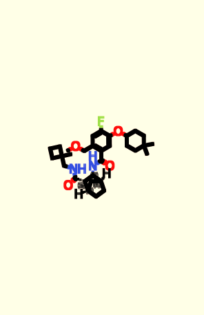 COCc1cc(F)c(OC2CCC(C)(C)CC2)cc1C(=O)N[C@@H]1[C@H]2CC[C@H](C2)[C@@H]1C(=O)NCC1(C)CCC1